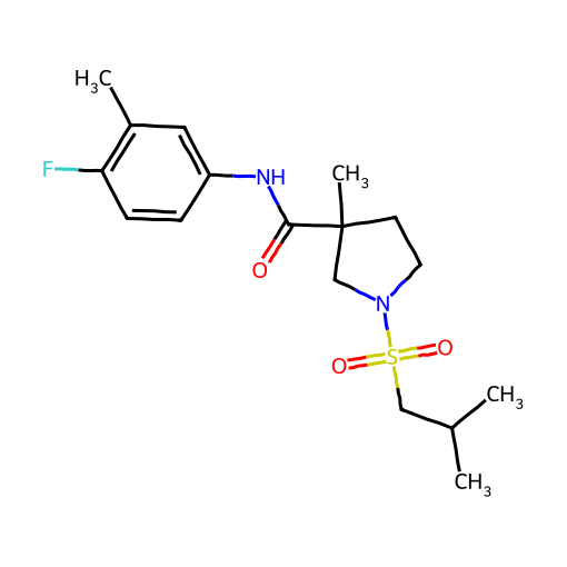 Cc1cc(NC(=O)C2(C)CCN(S(=O)(=O)CC(C)C)C2)ccc1F